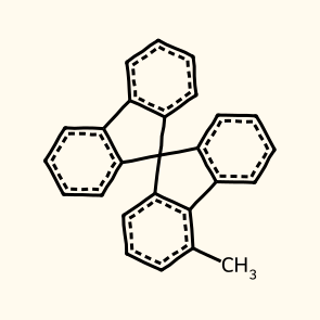 Cc1cccc2c1-c1ccccc1C21c2ccccc2-c2ccccc21